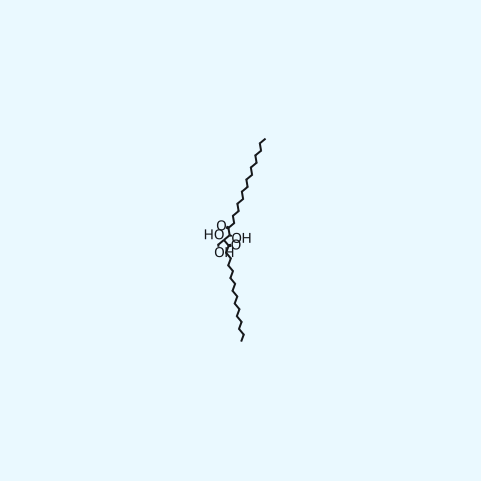 CCCCCCCCCCCCCCCC(=O)C(O)C(O)(CO)C(=O)CCCCCCCCCCCCCCC